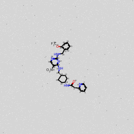 O=C(Cc1ccccn1)N[C@H]1CC[C@H](CNc2nc(NCc3ccccc3OC(F)(F)F)ncc2[N+](=O)[O-])CC1